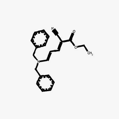 CCOC(=O)/C(C#N)=C/C=C/N(Cc1ccccc1)Cc1ccccc1